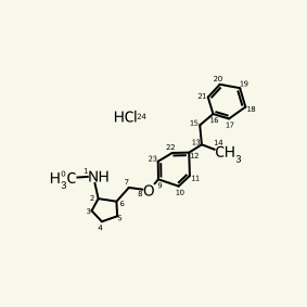 CNC1CCCC1COc1ccc(C(C)Cc2ccccc2)cc1.Cl